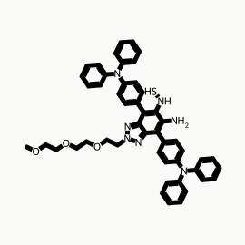 COCCOCCOCCn1nc2c(-c3ccc(N(c4ccccc4)c4ccccc4)cc3)c(N)c(NS)c(-c3ccc(N(c4ccccc4)c4ccccc4)cc3)c2n1